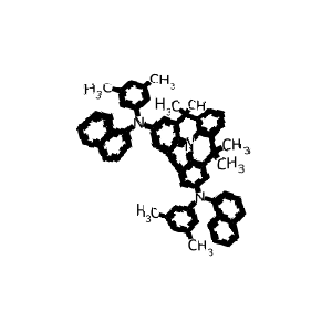 Cc1cc(C)cc(N(c2cc3c4c(c2)c2cc(N(c5cc(C)cc(C)c5)c5cccc6ccccc56)cc5c2n4-c2c(cccc2C5(C)C)C3(C)C)c2cccc3ccccc23)c1